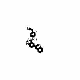 C[C@@H]1CC(Nc2ncnc3ccc(-c4cnc5ccccc5c4)cc23)=CC=C1CC#N